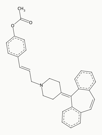 CC(=O)Oc1ccc(/C=C/CN2CCC(=C3c4ccccc4C=Cc4ccccc43)CC2)cc1